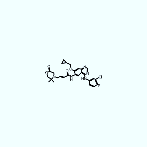 CC1(C)COC(=O)CN1CC=CC(=O)Nc1cc2c(Nc3ccc(F)c(Cl)c3)ncnc2cc1OCC1CC1